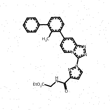 CCOC(=O)CNC(=O)c1ccn(-c2nnc3cc(-c4cccc(-c5ccccc5)c4C)ccn23)n1